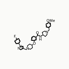 COc1ccc(CN2CCC(NC(=O)c3cccc(OC4CCN(Cc5cnn(-c6ccc(F)cc6)c5)CC4)c3)CC2)cc1